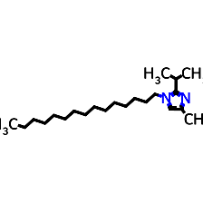 CCCCCCCCCCCCCCCn1cc(C)nc1C(C)C